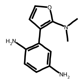 CN(C)c1occc1-c1cc(N)ccc1N